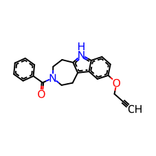 C#CCOc1ccc2[nH]c3c(c2c1)CCN(C(=O)c1ccccc1)CC3